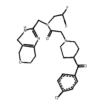 O=C(c1ccc(Cl)cc1)C1CCN(CC(=O)N(CC2=NC3=C(CN2)COCC3)CC(F)F)CC1